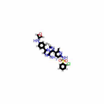 Cc1nc(NS(=O)(=O)c2ccccc2Cl)ccc1-c1nc(C(C)C)n2c(-c3ccc(NC4COC4)cc3)cnc(N)c12